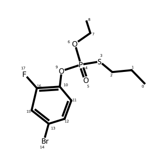 CCCSP(=O)(OCC)Oc1ccc(Br)cc1F